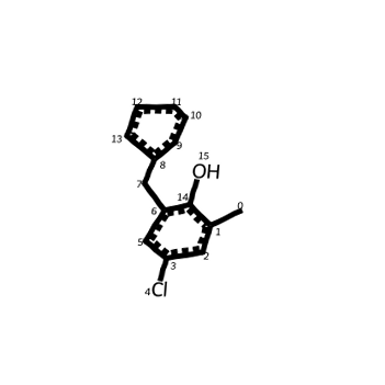 Cc1cc(Cl)cc(Cc2ccccc2)c1O